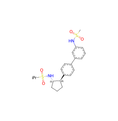 CC(C)S(=O)(=O)N[C@H]1CCC[C@@H]1c1ccc(-c2cccc(NS(C)(=O)=O)c2)cc1